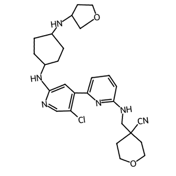 N#CC1(CNc2cccc(-c3cc(NC4CCC(NC5CCOC5)CC4)ncc3Cl)n2)CCOCC1